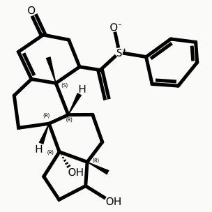 C=C(C1CC(=O)C=C2CC[C@@H]3[C@@H](CC[C@]4(C)C(O)CC[C@@]34O)[C@]21C)[S+]([O-])c1ccccc1